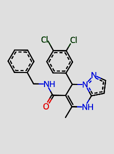 CC1=C(C(=O)NCc2ccccc2)C(c2ccc(Cl)c(Cl)c2)n2nccc2N1